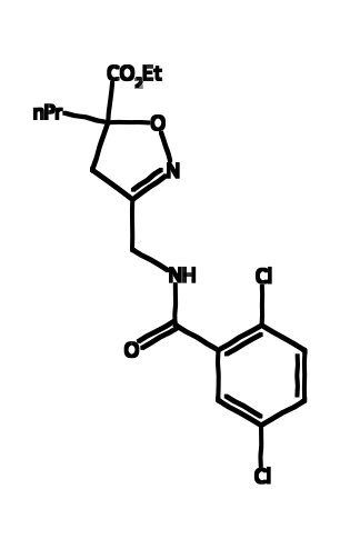 CCCC1(C(=O)OCC)CC(CNC(=O)c2cc(Cl)ccc2Cl)=NO1